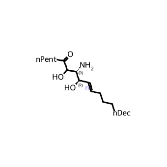 CCCCCCCCCCCCC/C=C/[C@@H](O)[C@@H](N)C(O)C(=O)CCCCC